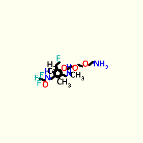 CNCc1c(C)c(CNC(=O)C(F)(F)F)c(C)c(CCF)c1OCCOCCOCCN